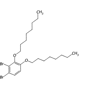 CCCCCCCCOc1ccc(Br)c(Br)c1OCCCCCCCC